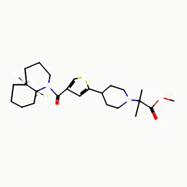 COC(=O)C(C)(C)N1CCC(c2cc(C(=O)N3CCC[C@H]4CCCC[C@H]43)cs2)CC1